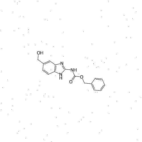 O=C(Nc1nc2cc(CO)ccc2[nH]1)OCc1ccccc1